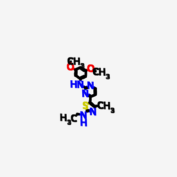 CCNc1nc(C)c(-c2ccnc(Nc3cc(OC)cc(OC)c3)n2)s1